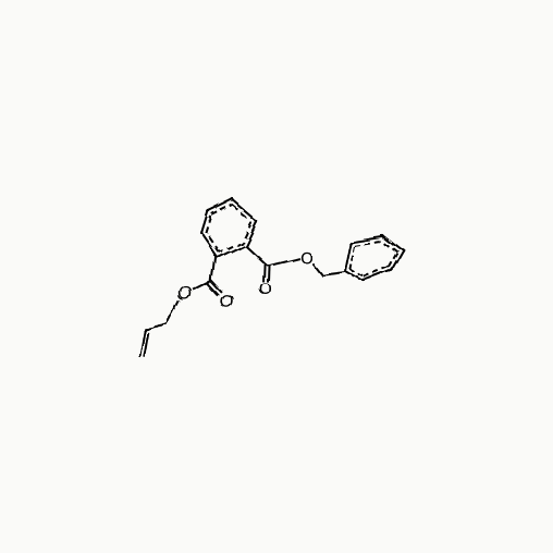 C=CCOC(=O)c1ccccc1C(=O)OCc1ccccc1